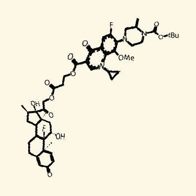 COc1c(N2CCN(C(=O)OC(C)(C)C)C(C)C2)c(F)cc2c(=O)c(C(=O)OCCC(=O)OCC(=O)[C@@]3(O)[C@H](C)CC4C5CCC6=CC(=O)C=C[C@]6(C)[C@@]5(F)[C@@H](O)C[C@@]43C)cn(C3CC3)c12